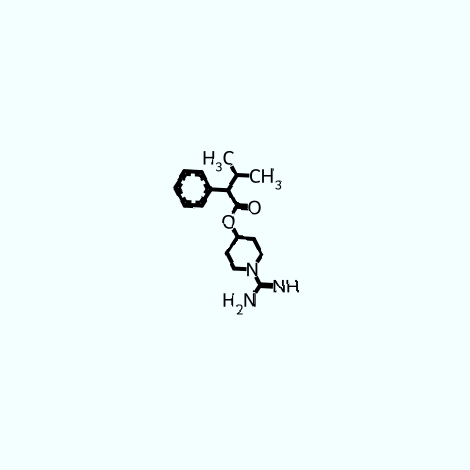 CC(C)C(C(=O)OC1CCN(C(=N)N)CC1)c1ccccc1